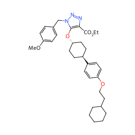 CCOC(=O)c1nnn(Cc2ccc(OC)cc2)c1O[C@H]1CC[C@H](c2ccc(OCCC3CCCCC3)cc2)CC1